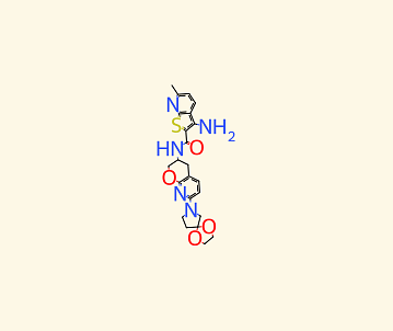 Cc1ccc2c(N)c(C(=O)N[C@H]3COc4nc(N5CCC6(C5)OCCO6)ccc4C3)sc2n1